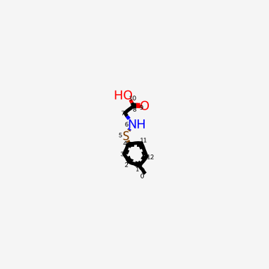 Cc1ccc(SNCC(=O)O)cc1